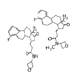 CN(C(=O)CC[C@@H]1CC(=O)[C@@]2(C)CCC3c4cccc(F)c4CCC3C12)C1COC1.C[C@]12CCC3c4cccc(F)c4CCC3C1[C@H](CCC(=O)NC1COC1)CC2=O